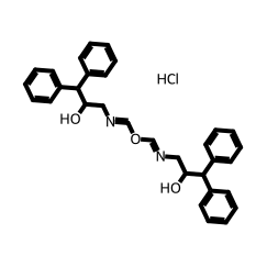 Cl.OC(CN=COC=NCC(O)C(c1ccccc1)c1ccccc1)C(c1ccccc1)c1ccccc1